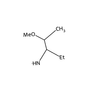 CCC([NH])C(C)OC